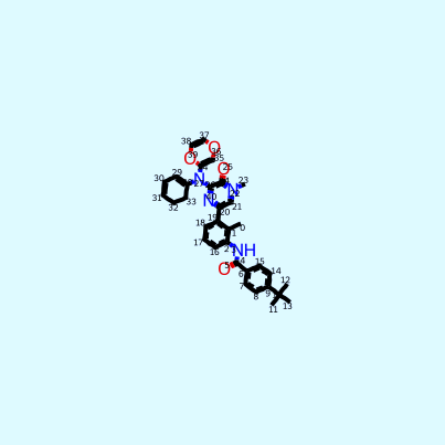 Cc1c(NC(=O)c2ccc(C(C)(C)C)cc2)cccc1-c1cn(C)c(=O)c(N(C2=CC=CCC2)C2=COC=CO2)n1